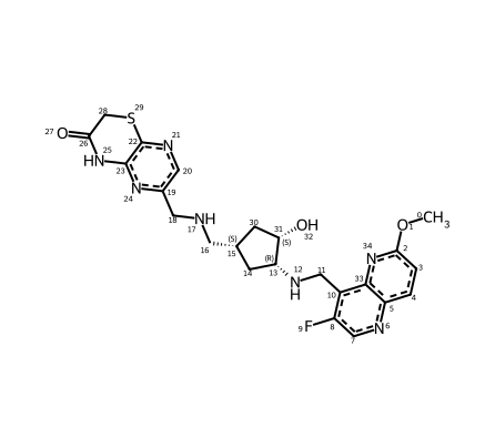 COc1ccc2ncc(F)c(CN[C@@H]3C[C@H](CNCc4cnc5c(n4)NC(=O)CS5)C[C@@H]3O)c2n1